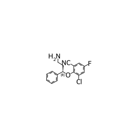 N#Cc1cc(F)cc(Cl)c1O[C@H](CCN)c1ccccc1